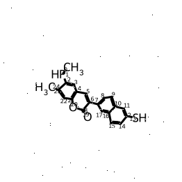 CPc1cc2cc(-c3ccc4cc(S)ccc4c3)c(=O)oc2cc1C